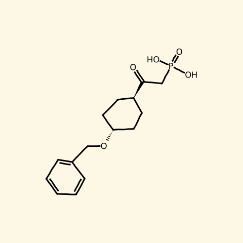 O=C(CP(=O)(O)O)[C@H]1CC[C@H](OCc2ccccc2)CC1